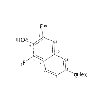 CCCCCCc1ccc2c(F)c(O)c(F)cc2c1